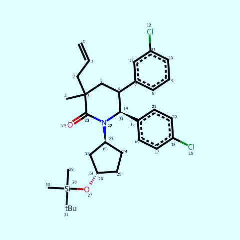 C=CCC1(C)CC(c2cccc(Cl)c2)[C@@H](c2ccc(Cl)cc2)N([C@H]2CC[C@H](O[Si](C)(C)C(C)(C)C)C2)C1=O